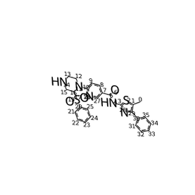 Cc1sc(NC(=O)c2ccc(N3CCNCC3S(=O)(=O)c3ccccc3)nc2)nc1-c1ccccc1